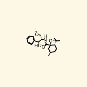 COC[C@H](NC(=O)[C@]1(O)C[C@H](C)CC[C@H]1C(C)C)[C@H](O)c1ccccc1